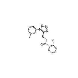 Cc1cccc(-n2nnnc2SCC(=O)c2ccccc2F)c1